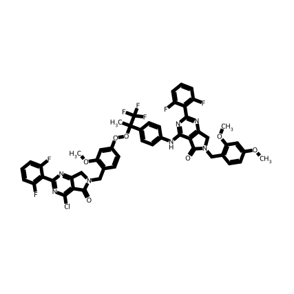 COc1ccc(CN2Cc3nc(-c4c(F)cccc4F)nc(Nc4ccc(C(C)(OOc5ccc(CN6Cc7nc(-c8c(F)cccc8F)nc(Cl)c7C6=O)c(OC)c5)C(F)(F)F)cc4)c3C2=O)c(OC)c1